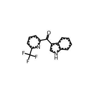 O=C(c1cccc(C(F)(F)F)n1)c1c[nH]c2ccccc12